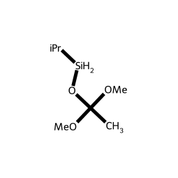 COC(C)(OC)O[SiH2]C(C)C